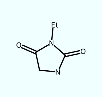 CCN1C(=O)C[N]C1=O